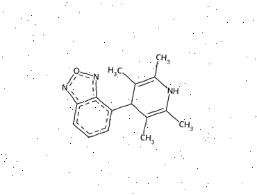 CC1=C(C)C(c2cccc3nonc23)C(C)=C(C)N1